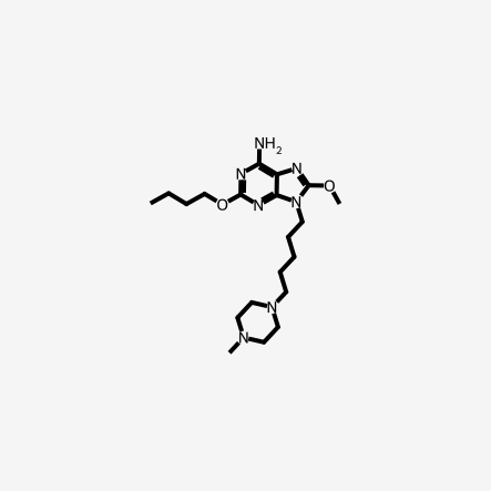 CCCCOc1nc(N)c2nc(OC)n(CCCCCN3CCN(C)CC3)c2n1